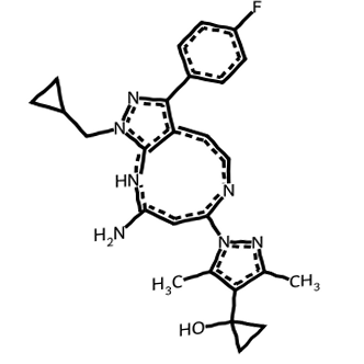 Cc1nn(-c2cc(N)[nH]c3c(ccn2)c(-c2ccc(F)cc2)nn3CC2CC2)c(C)c1C1(O)CC1